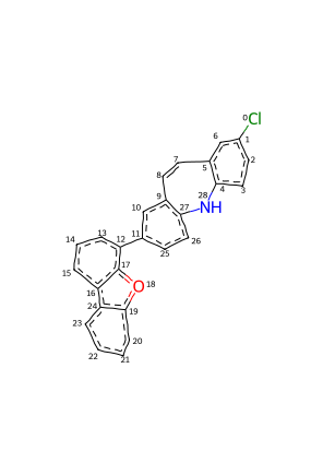 Clc1ccc2c(c1)C=Cc1cc(-c3cccc4c3oc3ccccc34)ccc1N2